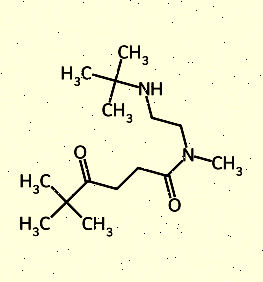 CN(CCNC(C)(C)C)C(=O)CCC(=O)C(C)(C)C